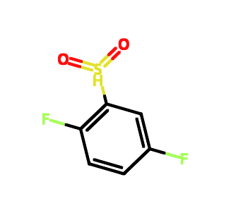 O=[SH](=O)c1cc(F)ccc1F